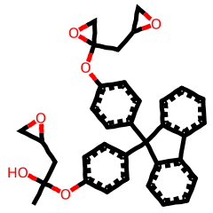 CC(O)(CC1CO1)Oc1ccc(C2(c3ccc(OC4(CC5CO5)CO4)cc3)c3ccccc3-c3ccccc32)cc1